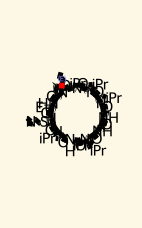 C/C=C/C[C@@H](C)C[C@@H]1C(=O)N[C@H](CC)C(=O)N(C)[C@H](CSCCN(C)C)C(=O)N(C)[C@@H](CC(C)C)C(=O)N[C@H](C(C)C)C(=O)N(C)[C@H](CCC(C)C)C(=O)N[C@H](C)C(=O)N[C@H](C)C(=O)N(C)[C@@H](CC(C)C)C(=O)N(C)[C@@H](CC(C)C)C(=O)N(C)[C@H](C(C)C)C(=O)N1C